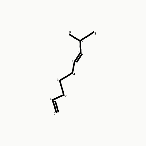 C=CCCCC=CC(C)C